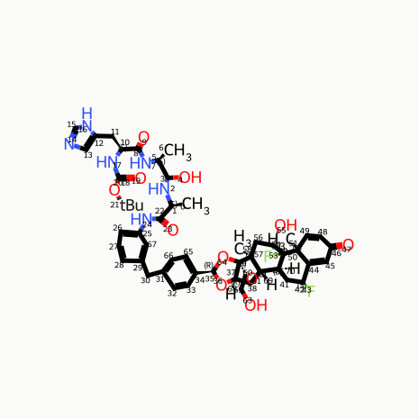 C[C@H](NC(O)[C@H](C)NC(=O)[C@H](Cc1cnc[nH]1)NC(=O)OC(C)(C)C)C(=O)Nc1cccc(Cc2ccc([C@@H]3O[C@@H]4C[C@H]5[C@@H]6C[C@H](F)C7=CC(=O)C=C[C@]7(C)[C@@]6(F)[C@@H](O)C[C@]5(C)[C@]4(C(=O)CO)O3)cc2)c1